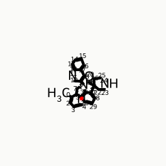 Cc1cccnc1C[N+]1(c2cnc3ccccc3c2)C(=O)C2(CCNCC2)c2ccccc21